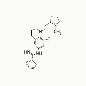 CN1CCCC1CCN1CCCc2cc(NC(=N)C3CC=CS3)cc(F)c21